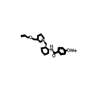 C=CCOCC1CCCN(C[C@@H]2CCCC[C@H]2NC(=O)c2ccc(OC)cc2)C1